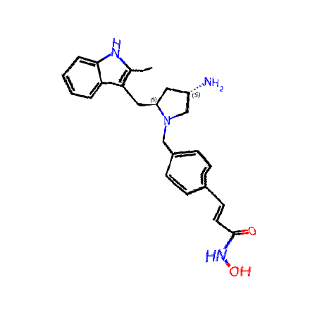 Cc1[nH]c2ccccc2c1C[C@H]1C[C@H](N)CN1Cc1ccc(C=CC(=O)NO)cc1